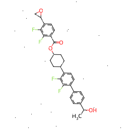 CC(O)c1ccc(-c2ccc(C3CCC(OC(=O)c4ccc(C5CO5)c(F)c4F)CC3)c(F)c2F)cc1